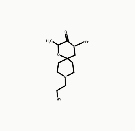 CCCN1CC2(CCN(CCC(C)C)CC2)OC(C)C1=O